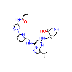 C=CC(=O)Nc1cnn(-c2cccc(CNc3cc(NC[C@H]4CCNC[C@@H]4O)nc4c(C(C)C)cnn34)n2)c1